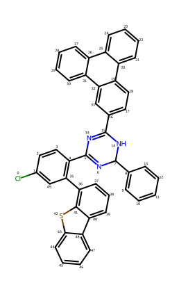 Clc1ccc(C2=NC(c3ccccc3)NC(c3ccc4c5ccccc5c5ccccc5c4c3)=N2)c(-c2cccc3c2sc2ccccc23)c1